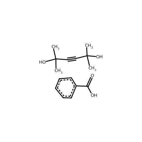 CC(C)(O)C#CC(C)(C)O.O=C(O)c1ccccc1